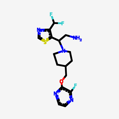 NCC(c1scnc1C(F)F)N1CCC(COc2nccnc2F)CC1